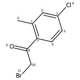 Cc1cc(Cl)ccc1C(=O)CBr